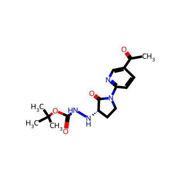 CC(=O)c1ccc(N2CC[C@H](NNC(=O)OC(C)(C)C)C2=O)nc1